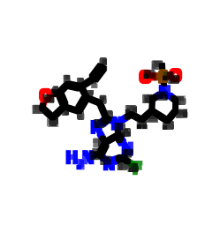 C#Cc1cc2c(cc1Cc1nc3c(N)nc(F)nc3n1CCC1CCCN(S(C)(=O)=O)C1)CCO2